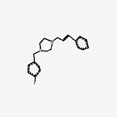 Fc1ccc(CN2CCN(C/C=C/c3ccccc3)CC2)cc1